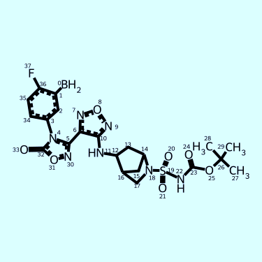 Bc1cc(-n2c(-c3nonc3NC3CC4CC3CN4S(=O)(=O)NC(=O)OC(C)(C)C)noc2=O)ccc1F